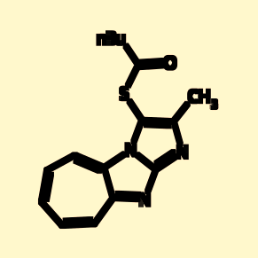 CCCCC(=O)Sc1c(C)nc2nc3cccccc3n12